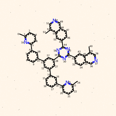 Cc1cccc(-c2cccc(-c3cc(-c4cccc(-c5cccc(C)n5)c4)cc(-c4nc(-c5ccc6cncc(C)c6c5)nc(-c5ccc6cncc(C)c6c5)n4)c3)c2)n1